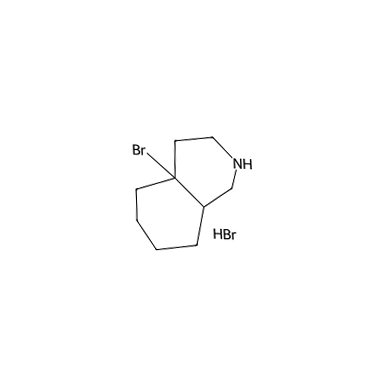 Br.BrC12CCCCC1CNCC2